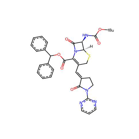 CC(C)(C)OC(=O)N[C@@H]1C(=O)N2C(C(=O)OC(c3ccccc3)c3ccccc3)=C(C=C3CCN(c4ncccn4)C3=O)CS[C@H]12